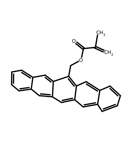 C=C(C)C(=O)OCc1c2cc3ccccc3cc2cc2cc3ccccc3cc12